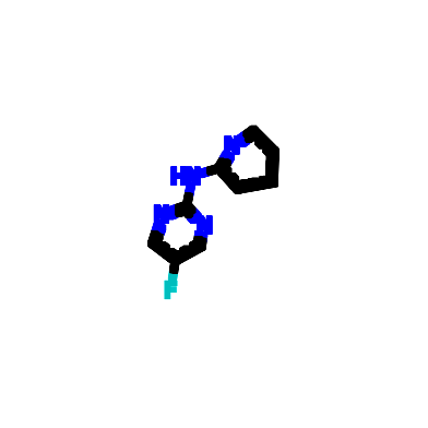 Fc1cnc(Nc2ccccn2)nc1